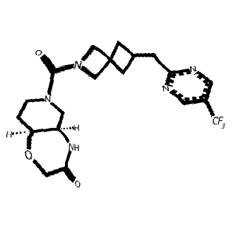 O=C1CO[C@H]2CCN(C(=O)N3CC4(CC(Cc5ncc(C(F)(F)F)cn5)C4)C3)C[C@H]2N1